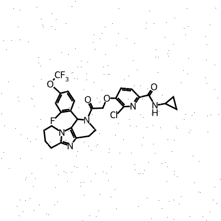 O=C(NC1CC1)c1ccc(OCC(=O)N2CCc3nc4n(c3C2c2ccc(OC(F)(F)F)cc2F)CCCC4)c(Cl)n1